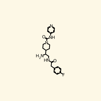 NC(CNC(=O)Cc1ccc(F)cc1)C1CCN(C(=O)Nc2ccncc2)CC1